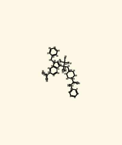 O=C(Nc1ccccc1)N1CCN(CC(O)(c2cn(Cc3ccccc3)c3cc([N+](=O)[O-])ccc23)C(F)(F)F)CC1